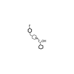 OC(CCN1CCC(Cc2ccc(F)cc2)CC1)c1ccccc1